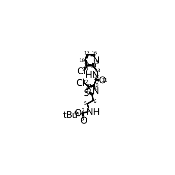 CC(C)(C)OC(=O)NCCc1nc(C(=O)NCc2ncccc2Cl)c(Cl)s1